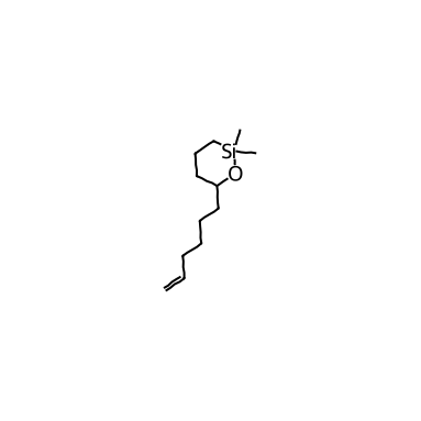 C=CCCCCC1CCC[Si](C)(C)O1